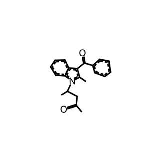 CC(=O)CC(C)n1c(C)c(C(=O)c2ccccc2)c2ccccc21